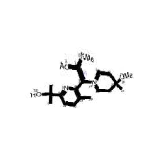 CN/C(C(C)=O)=C(/c1nc(C(C)(C)O)ccc1C)N1CCC(C)(OC)CC1